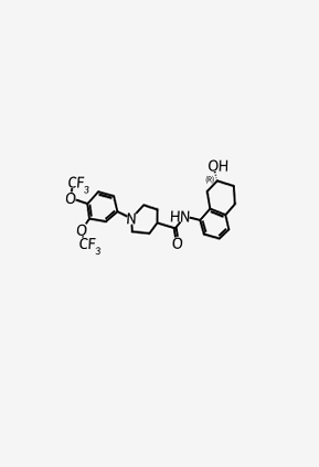 O=C(Nc1cccc2c1C[C@H](O)CC2)C1CCN(c2ccc(OC(F)(F)F)c(OC(F)(F)F)c2)CC1